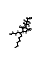 CCCCCCC(CCCC)C1CC(=O)N(C(C)(C)C(C)(C)C=O)C1=O